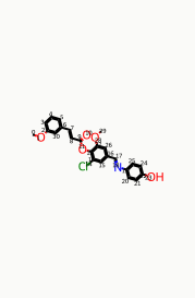 COc1cccc(/C=C/C(=O)Oc2c(Cl)cc(/C=N/c3ccc(O)cc3)cc2OC)c1